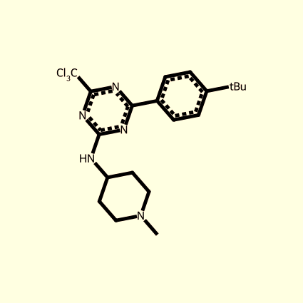 CN1CCC(Nc2nc(-c3ccc(C(C)(C)C)cc3)nc(C(Cl)(Cl)Cl)n2)CC1